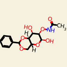 CC(=O)NO[C@@H]1[C@H](O)[C@@H]2OC(c3ccccc3)OC[C@H]2O[C@@H]1O